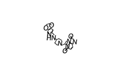 O=c1cnc2ccc(=O)n3c2n1CC3CN1CCC(NCc2cc3c(cn2)OCCO3)CC1